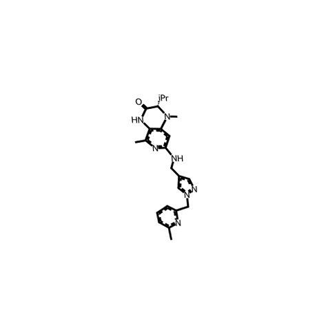 Cc1cccc(Cn2cc(CNc3cc4c(c(C)n3)NC(=O)[C@H](C(C)C)N4C)cn2)n1